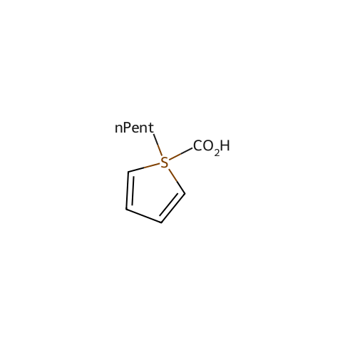 CCCCCS1(C(=O)O)C=CC=C1